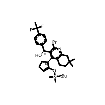 CC(C)c1nc2c(c([C@@H]3CCC=C3O[Si](C)(C)C(C)(C)C)c1[C@H](O)c1ccc(C(C)(F)F)cc1)CCC(C)(C)C2